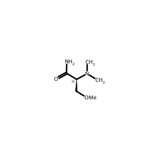 COC[C@@H](C(N)=O)N(C)C